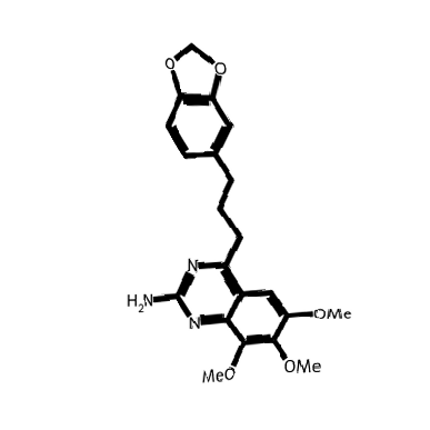 COc1cc2c(CCCc3ccc4c(c3)OCO4)nc(N)nc2c(OC)c1OC